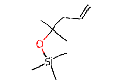 C=CCC(C)(C)O[Si](C)(C)C